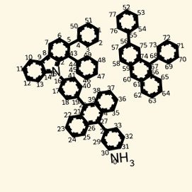 N.c1ccc(-c2ccc3c4ccccc4n(-c4ccc(-c5c6ccccc6c(-c6ccccc6)c6ccccc56)cc4)c3c2-c2ccccc2)cc1.c1ccc(-c2ccc3cc4ccccc4c(-c4ccccc4)c3c2)cc1